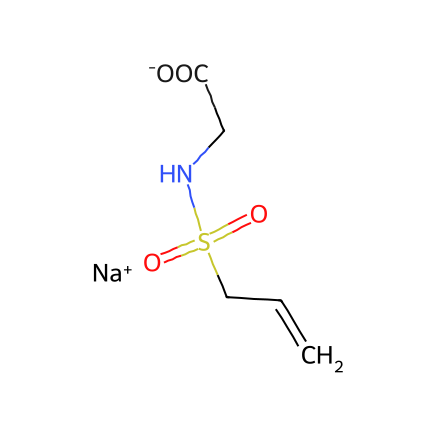 C=CCS(=O)(=O)NCC(=O)[O-].[Na+]